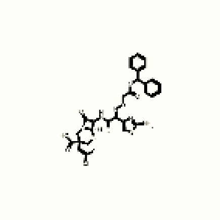 Nc1nc(C(=NOCC(=O)OC(c2ccccc2)c2ccccc2)C(=O)NC2C(=O)N3CC(C=C(Cl)Cl)(C(=O)O)CS[C@H]23)cs1